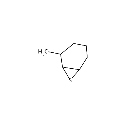 CC1CCCC2SC12